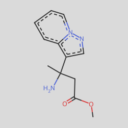 COC(=O)CC(C)(N)c1cnn2ccccc12